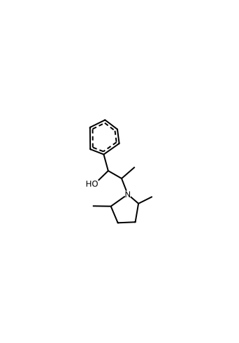 CC1CCC(C)N1C(C)C(O)c1ccccc1